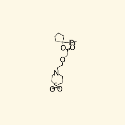 CC(C)C1(OC(=O)COCCN2CCS(=O)(=O)CC2)CCCC1